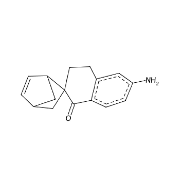 Nc1ccc2c(c1)CCC1(CC3C=CC1C3)C2=O